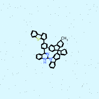 CC1C=CC2=C(C1)c1ccccc1C2(c1ccc2c3ccccc3n(C3N=C(c4ccc(-c5cccc6c5sc5ccccc56)cc4)c4ccccc4N3)c2c1)C1C=CC=CC1